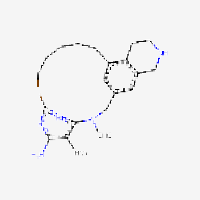 CNc1c(N)nc2nc1N(C=O)Cc1cc(c3c(c1)CNCC3)CCCCCS2